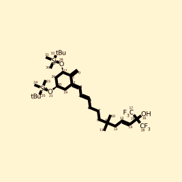 C=C1C(=CC=CCCCC(C)(C)CC=CC(O)(C(F)(F)F)C(F)(F)F)C[C@@H](O[Si](C)(C)C(C)(C)C)C[C@@H]1O[Si](C)(C)C(C)(C)C